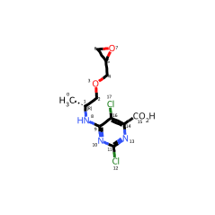 C[C@H](COCC1CO1)Nc1nc(Cl)nc(C(=O)O)c1Cl